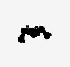 Cc1cccc(C=Cc2cccc(NC(=O)C(CC(C)(C)C(=O)Nc3cccc(C=Cc4cccc(C)n4)c3)c3ccccc3)c2)n1